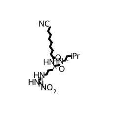 CC(C)C[CH]NC(=O)[C@H](CCCN[C@@H]1NN1[N+](=O)[O-])NC(=O)CCCCCCCCC#N